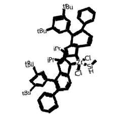 CC(C)CC1=Cc2c(ccc(-c3ccccc3)c2-c2cc(C(C)(C)C)cc(C(C)(C)C)c2)[CH]1[Zr]([Cl])([Cl])([CH]1C(CC(C)C)=Cc2c1ccc(-c1ccccc1)c2-c1cc(C(C)(C)C)cc(C(C)(C)C)c1)[SiH](C)C